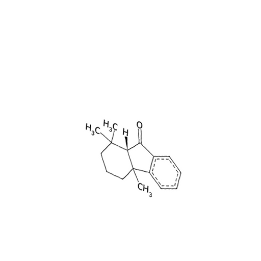 CC1(C)CCCC2(C)c3ccccc3C(=O)[C@@H]12